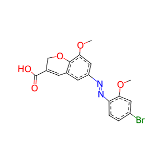 COc1cc(Br)ccc1N=Nc1cc2c(c(OC)c1)OCC(C(=O)O)=C2